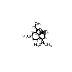 CN1CCc2c(N(C)C)ccc3oc(CO)c(c23)C1.Cl.Cl